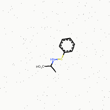 CC(NSc1ccccc1)C(=O)O